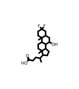 CC(CCC(=O)O)C1CCC2C3C(O)CC4CC(F)(F)CCC4(C)C3CCC12C